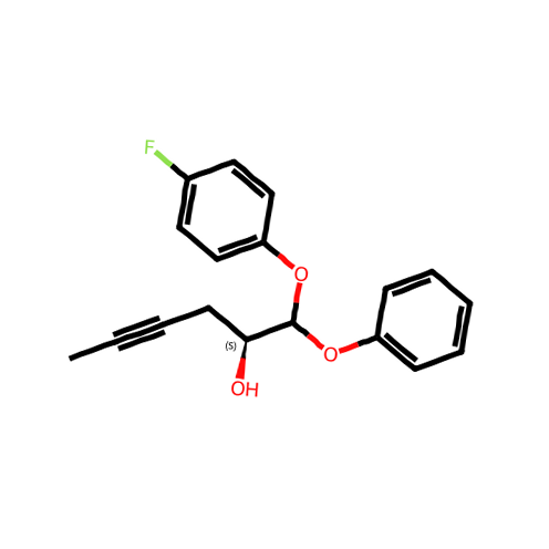 CC#CC[C@H](O)C(Oc1ccccc1)Oc1ccc(F)cc1